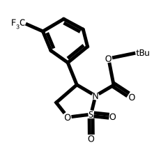 CC(C)(C)OC(=O)N1C(c2cccc(C(F)(F)F)c2)COS1(=O)=O